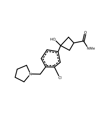 CNC(=O)C1CC(O)(c2ccc(CN3CCCC3)c(Cl)c2)C1